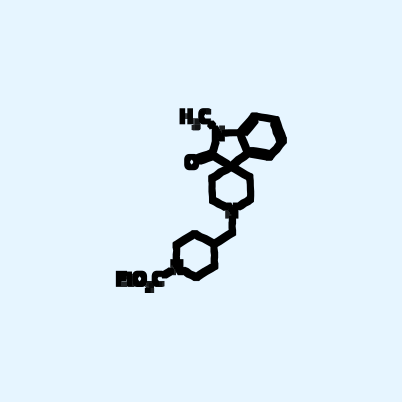 CCOC(=O)N1CCC(CN2CCC3(CC2)C(=O)N(C)c2ccccc23)CC1